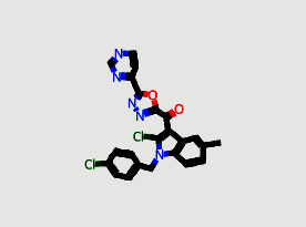 Cc1ccc2c(c1)c(C(=O)c1nnc(-c3ccncn3)o1)c(Cl)n2Cc1ccc(Cl)cc1